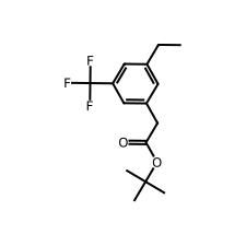 CCc1cc(CC(=O)OC(C)(C)C)cc(C(F)(F)F)c1